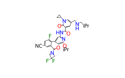 CC(C)CNCc1cc(C(=O)Nc2cc(-c3c(F)cc(C#N)cc3C(=O)N3CC(F)(F)C3)cc(OC(C)C)n2)c(=O)n(C2CC2)c1